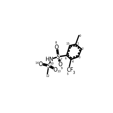 Cc1ccc(C(F)(F)F)c(S(=O)(=O)NS(C)(=O)=O)c1